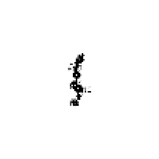 [C-]#[N+]c1cc2c(Oc3ccc(NC(=O)Nc4ccc(F)cc4)cc3)ccnc2cc1OCCn1ccnn1